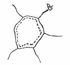 Cc1cc(C)c(Br)c(C)c1C